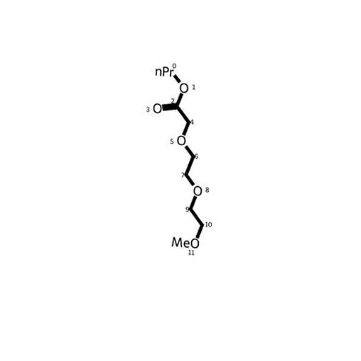 CCCOC(=O)COCCOCCOC